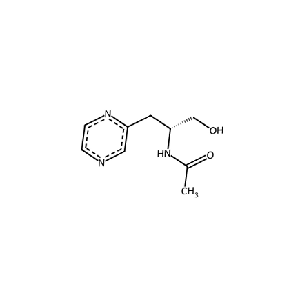 CC(=O)N[C@@H](CO)Cc1cnccn1